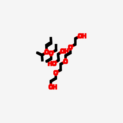 C/C=C/OC(C)C.CCOCC.OCCO.OCCOCCOCCOCCO